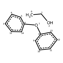 CCO.c1ccc(Oc2ccccc2)cc1